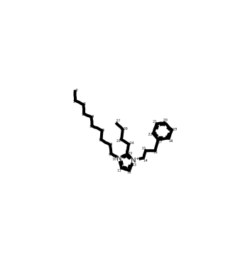 CCCCCCCCCCn1cc[n+](CCCc2ccccc2)c1CCCC